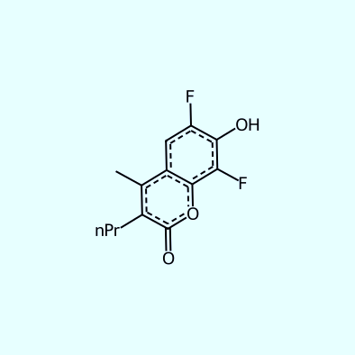 CCCc1c(C)c2cc(F)c(O)c(F)c2oc1=O